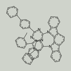 Cc1ccccc1-c1ccc(-n2c3ccccc3c3ccc4c5ccccc5n(-c5nc(-c6ccccc6)nc(-c6ccc(-c7ccccc7)cc6)n5)c4c32)cc1-c1ccccc1